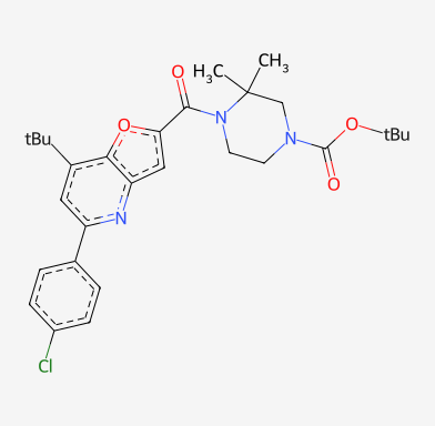 CC(C)(C)OC(=O)N1CCN(C(=O)c2cc3nc(-c4ccc(Cl)cc4)cc(C(C)(C)C)c3o2)C(C)(C)C1